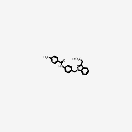 CCOC(=O)Cc1nn(Cc2ccc(NC(=O)c3ccc(C)nc3)cc2)c2ccccc12